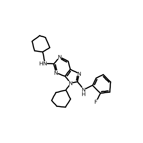 Fc1ccccc1Nc1nc2cnc(NC3CCCCC3)nc2n1C1CCCCC1